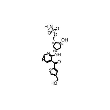 NS(=O)(=O)OC[C@H]1C[C@@H](Nc2ncncc2C(=O)c2cc(CO)cs2)C[C@@H]1O